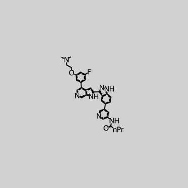 CCCC(=O)Nc1cncc(-c2ccc3[nH]nc(-c4cc5c(-c6cc(F)cc(OCCN(C)C)c6)cncc5[nH]4)c3c2)c1